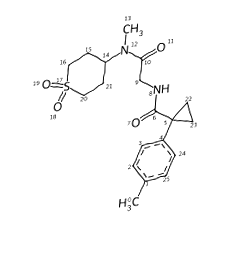 Cc1ccc(C2(C(=O)NCC(=O)N(C)C3CCS(=O)(=O)CC3)CC2)cc1